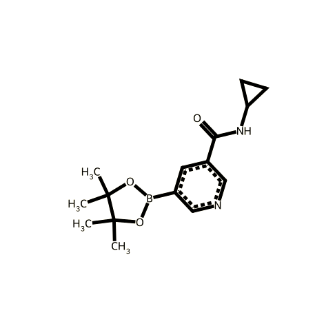 CC1(C)OB(c2cncc(C(=O)NC3CC3)c2)OC1(C)C